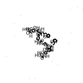 O=C(N[C@@H]1CCN(c2nc(N[C@H](CO)Cc3ccccc3)c3ncn(C4C[C@H](NC(=O)OO)[C@@H](O)[C@H]4O)c3n2)C1)N[C@@H]1CCN(c2nc(N[C@H](CO)Cc3ccccc3)c3ncn([C@@H]4C[C@H](NC(=O)OO)[C@@H](O)[C@H]4O)c3n2)C1